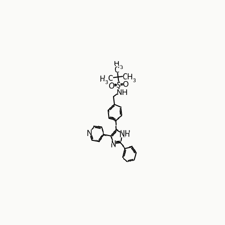 CC(C)(C)S(=O)(=O)NCc1ccc(-c2[nH]c(-c3ccccc3)nc2-c2ccncc2)cc1